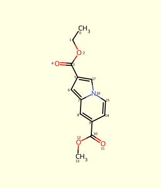 CCOC(=O)c1cc2cc(C(=O)OC)ccn2c1